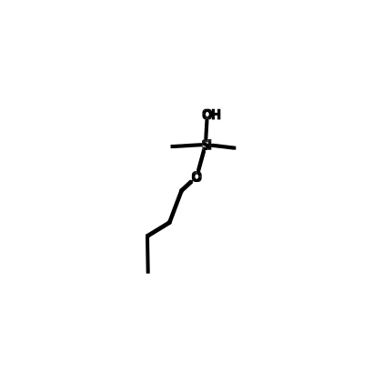 CCCCO[Si](C)(C)O